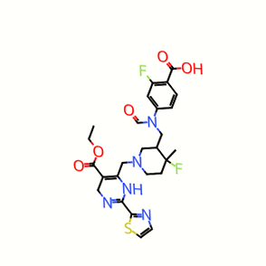 CCOC(=O)C1=C(CN2CCC(C)(F)C(CN(C=O)c3ccc(C(=O)O)c(F)c3)C2)NC(c2nccs2)=NC1